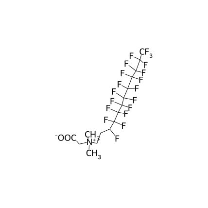 C[N+](C)(CCC(F)C(F)(F)C(F)(F)C(F)(F)C(F)(F)C(F)(F)C(F)(F)C(F)(F)C(F)(F)C(F)(F)F)CC(=O)[O-]